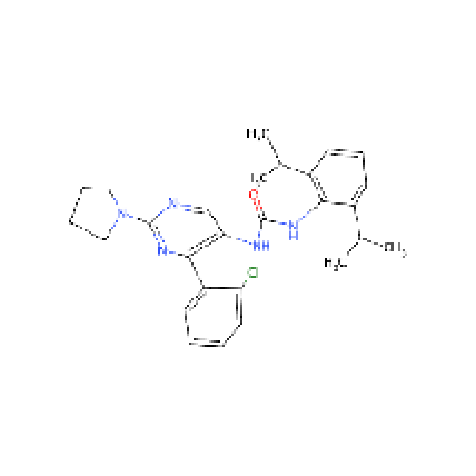 CC(C)c1cccc(C(C)C)c1NC(=O)Nc1cnc(N2CCCC2)nc1-c1ccccc1Cl